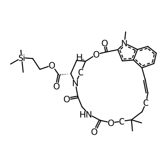 Cn1c2cc3c(cccc31)/C=C/CCC(C)(C)COC(=O)NCC(=O)N1C[C@@H](C[C@H]1C(=O)OCC[Si](C)(C)C)OC2=O